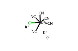 N#[C][Ru-3]([Cl])([C]#N)([C]#N)([C]#N)[C]#N.[K+].[K+].[K+]